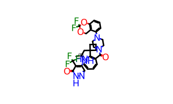 C[C@@H](CC1(C2=C(C(=O)N3CCN(c4cccc5c4COC(F)(F)O5)CC3)C=CC=CN2)CCC1)Nc1cn[nH]c(=O)c1C(F)(F)F